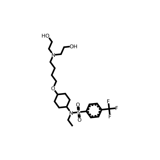 CCN(C1CCC(OCCCCN(CCO)CCO)CC1)S(=O)(=O)c1ccc(C(F)(F)F)cc1